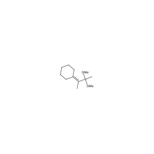 CO[Si](C)(OC)C(C)=C1CCCCC1